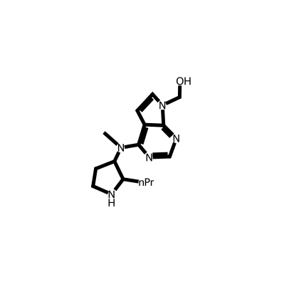 CCCC1NCCC1N(C)c1ncnc2c1ccn2CO